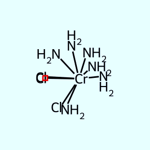 [NH2][Cr]([NH2])([NH2])([NH2])([NH2])([NH2])([Cl])([Cl])[Cl]